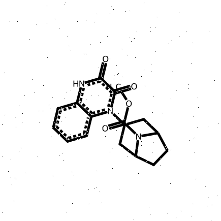 COC(=O)N1C2CCC1CC(n1c(=O)c(=O)[nH]c3ccccc31)C2